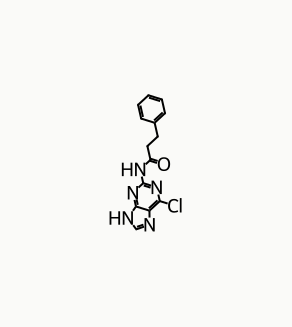 O=C(CCc1ccccc1)Nc1nc(Cl)c2nc[nH]c2n1